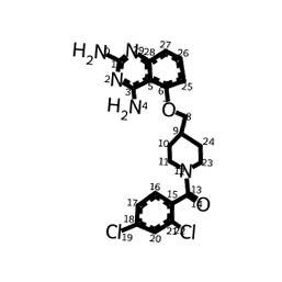 Nc1nc(N)c2c(OCC3CCN(C(=O)c4ccc(Cl)cc4Cl)CC3)cccc2n1